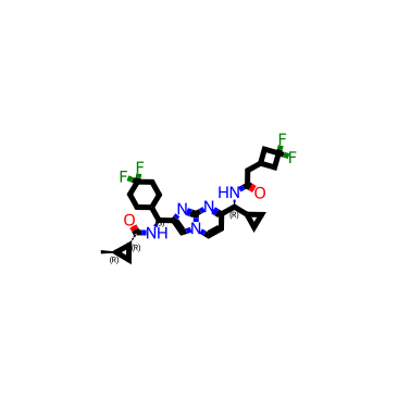 C[C@@H]1C[C@H]1C(=O)N[C@H](c1cn2ccc([C@H](NC(=O)CC3CC(F)(F)C3)C3CC3)nc2n1)C1CCC(F)(F)CC1